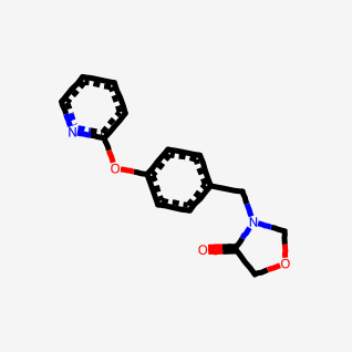 O=C1COCN1Cc1ccc(Oc2ccccn2)cc1